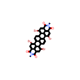 CN1C(=O)c2cc(Br)c3c4ccc5c6c(Br)cc7c8c(cc(Br)c(c9ccc(c%10c(Br)cc(c2c3%10)C1=O)c4c59)c86)C(=O)N(C)C7=O